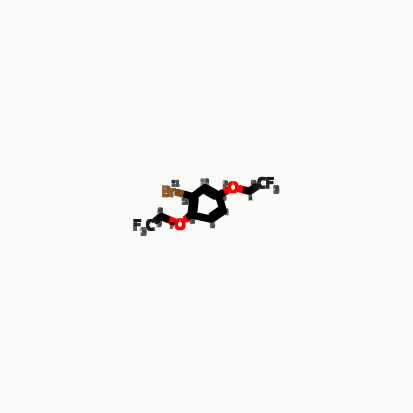 FC(F)(F)COc1ccc(OCC(F)(F)F)c(Br)c1